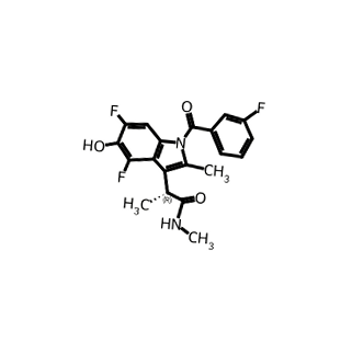 CNC(=O)[C@H](C)c1c(C)n(C(=O)c2cccc(F)c2)c2cc(F)c(O)c(F)c12